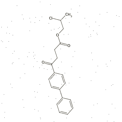 CC(Cl)COC(=O)CCC(=O)c1ccc(-c2ccccc2)cc1